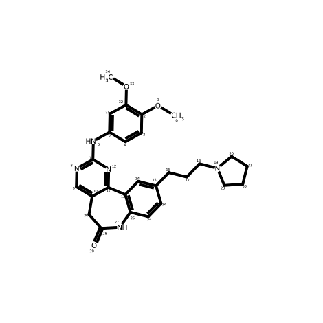 COc1ccc(Nc2ncc3c(n2)-c2cc(CCCN4CCCC4)ccc2NC(=O)C3)cc1OC